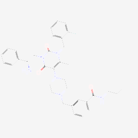 CCOC(=O)CCNC(=O)c1cccc(CN2CCN(c3c(C)n(Cc4c(F)cccc4C(F)(F)F)c(=O)n(C[C@@H](N)c4ccccc4)c3=O)CC2)c1